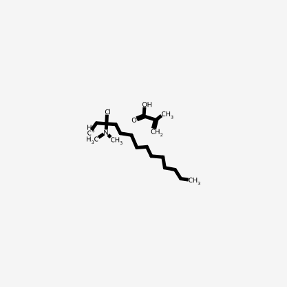 C=C(C)C(=O)O.CCCCCCCCCCCC(Cl)(CC)N(C)C